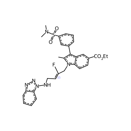 CCOC(=O)c1ccc2c(c1)c(-c1cccc(S(=O)(=O)N(C)C)c1)c(C)n2C/C(F)=C/CNn1nnc2ccccc21